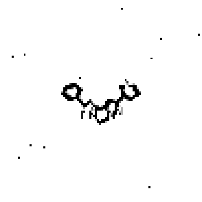 c1ccc(CC[C@@H]2NCCn3nc(-c4cccnc4)cc32)cc1